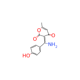 CC1=CC(=O)/C(=C(\N)c2ccc(O)cc2)C(=O)O1